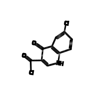 O=C(Cl)c1c[nH]c2ccc(Cl)cc2c1=O